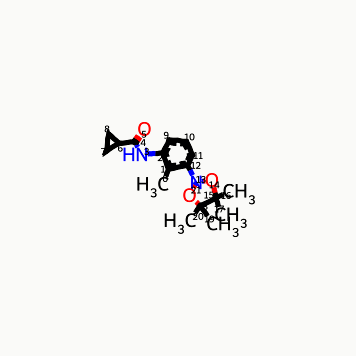 Cc1c(NC(=O)C2CC2)cccc1N1OC(C)(C)C(C)(C)O1